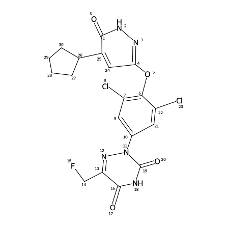 O=c1[nH]nc(Oc2c(Cl)cc(-n3nc(CF)c(=O)[nH]c3=O)cc2Cl)cc1C1CCCC1